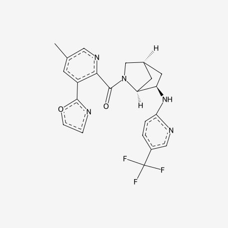 Cc1cnc(C(=O)N2C[C@H]3C[C@@H](Nc4ccc(C(F)(F)F)cn4)[C@@H]2C3)c(-c2ncco2)c1